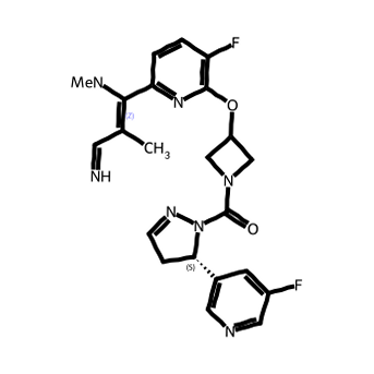 CN/C(=C(/C)C=N)c1ccc(F)c(OC2CN(C(=O)N3N=CC[C@H]3c3cncc(F)c3)C2)n1